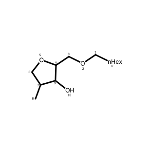 CCCCCCCOCC1OCC(C)C1O